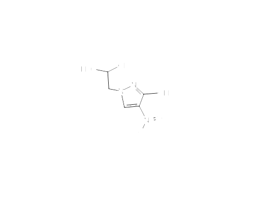 Cc1nn(CC(C)C)cc1[N+](=O)[O-]